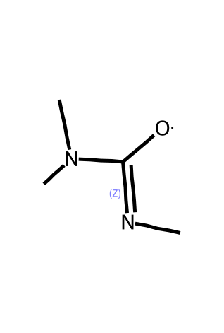 C/N=C(\[O])N(C)C